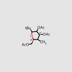 CC(=O)OC[C@H]1OC(C(C)(C)C)C(OC(C)=O)[C@@H](OC(C)=O)C1C